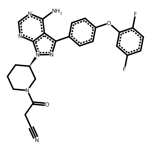 N#CCC(=O)N1CCC[C@@H](n2nc(-c3ccc(Oc4cc(F)ccc4F)cc3)c3c(N)ncnc32)C1